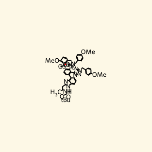 COc1ccc(CN(Cc2ccc(OC)cc2)S(=O)(=O)c2c(S(=O)O)ccc(-c3cccc4[nH]c(CC(C)NC(=O)OC(C)(C)C)nc34)c2-c2nnn(Cc3ccc(OC)cc3)n2)cc1